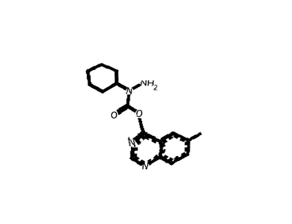 Cc1ccc2ncnc(OC(=O)N(N)C3CCCCC3)c2c1